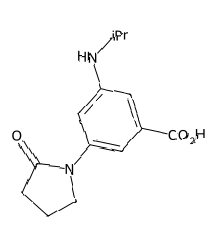 CC(C)Nc1cc(C(=O)O)cc(N2CCCC2=O)c1